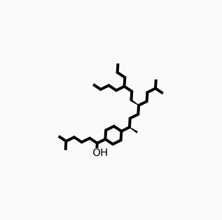 CCCCC(CCC)CC[C@@H](CCC(C)C)CC[C@@H](C)C1CCC(C(O)CCCC(C)C)CC1